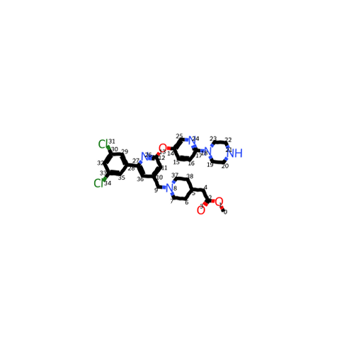 COC(=O)CC1CCN(Cc2cc(Oc3ccc(N4CCNCC4)nc3)nc(-c3cc(Cl)cc(Cl)c3)c2)CC1